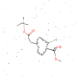 COC(=O)c1ccc(CC(=O)OC(C)(C)C)cc1Cl